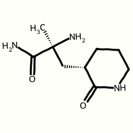 C[C@](N)(C[C@@H]1CCCNC1=O)C(N)=O